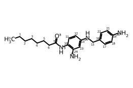 CCCCCCCC(=O)Nc1ccc(NCc2ccc(N)cc2)cc1N